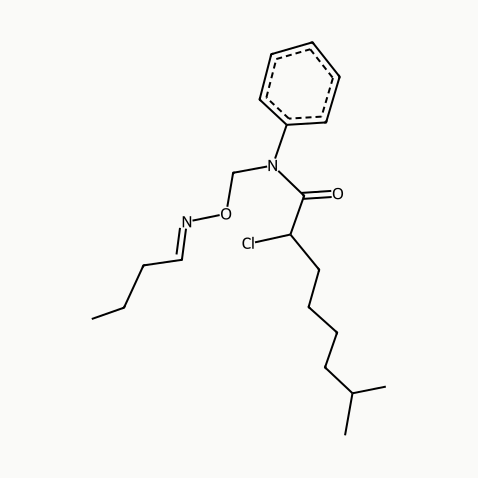 CCCC=NOCN(C(=O)C(Cl)CCCCC(C)C)c1ccccc1